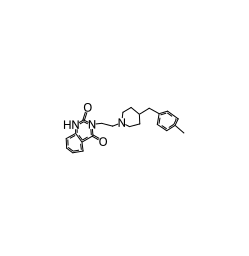 Cc1ccc(CC2CCN(CCn3c(=O)[nH]c4ccccc4c3=O)CC2)cc1